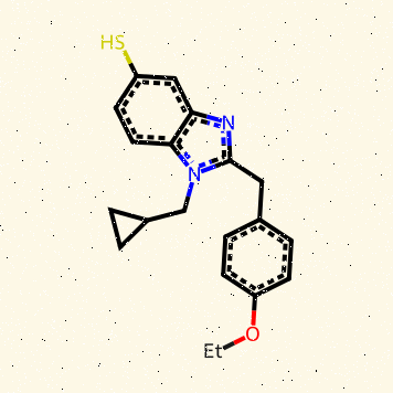 CCOc1ccc(Cc2nc3cc(S)ccc3n2CC2CC2)cc1